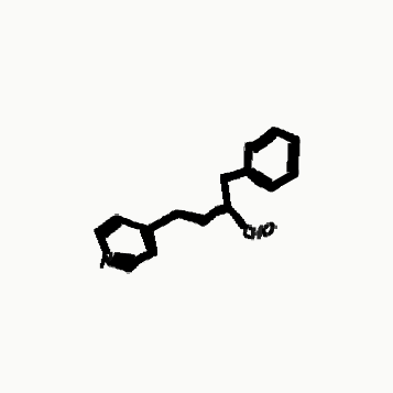 O=[C]C(CCc1ccncc1)Cc1ccccc1